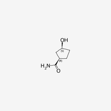 NC(=O)[C@@H]1CC[C@H](O)C1